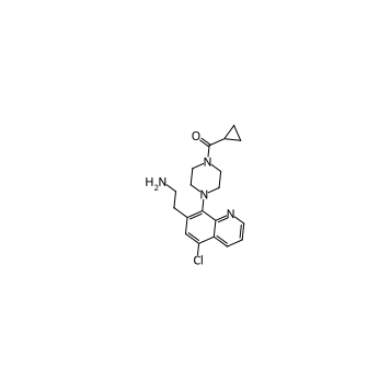 NCCc1cc(Cl)c2cccnc2c1N1CCN(C(=O)C2CC2)CC1